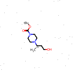 C[C@@H](CCO)N1CCN(C(=O)OC(C)(C)C)CC1